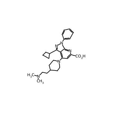 CN(C)CCC1CCN(c2cc(C(=O)O)nc3c2c(C2CCC2)nn3-c2ccccc2)CC1